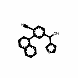 N#Cc1ccc(C(O)c2ccsc2)cc1-c1cccc2ccccc12